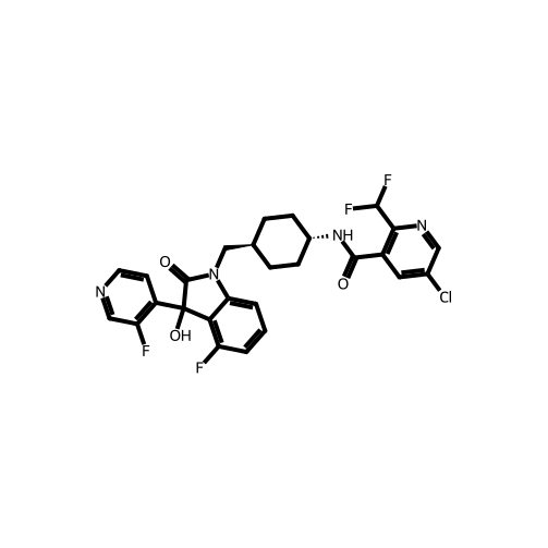 O=C(N[C@H]1CC[C@H](CN2C(=O)C(O)(c3ccncc3F)c3c(F)cccc32)CC1)c1cc(Cl)cnc1C(F)F